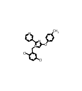 Cc1ccc(Oc2cn(Cc3cc(Cl)ccc3Cl)c(-c3cccnc3)n2)cc1